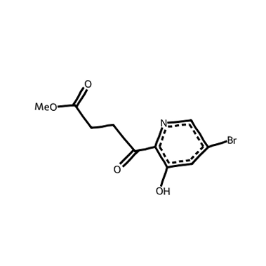 COC(=O)CCC(=O)c1ncc(Br)cc1O